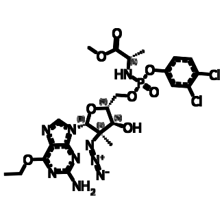 CCOc1nc(N)nc2c1ncn2[C@@H]1O[C@H](COP(=O)(N[C@@H](C)C(=O)OC)Oc2ccc(Cl)c(Cl)c2)[C@@H](O)[C@@]1(C)N=[N+]=[N-]